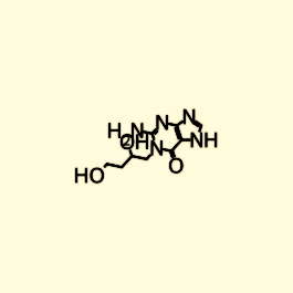 Nc1nc2nc[nH]c2c(=O)n1CC(O)CCO